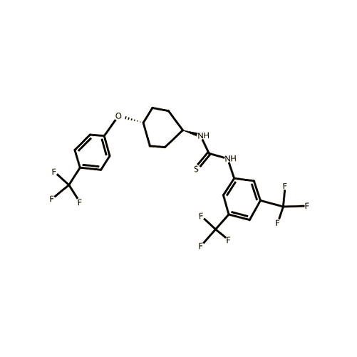 FC(F)(F)c1ccc(O[C@H]2CC[C@H](NC(=S)Nc3cc(C(F)(F)F)cc(C(F)(F)F)c3)CC2)cc1